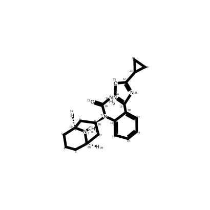 CN1[C@@H]2CCC[C@H]1C[C@@H](N(C(N)=O)c1ccccc1-c1noc(C3CC3)n1)C2